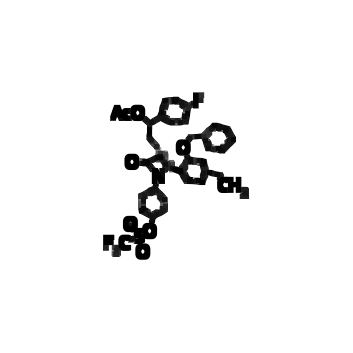 C=Cc1ccc([C@@H]2[C@@H](CCC(OC(C)=O)c3ccc(F)cc3)C(=O)N2c2ccc(OS(=O)(=O)C(F)(F)F)cc2)c(OCc2ccccc2)c1